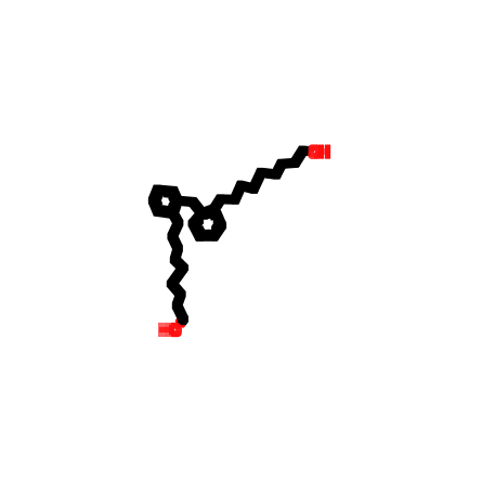 OCCCCCCCCCc1ccccc1Cc1ccccc1CCCCCCCCCO